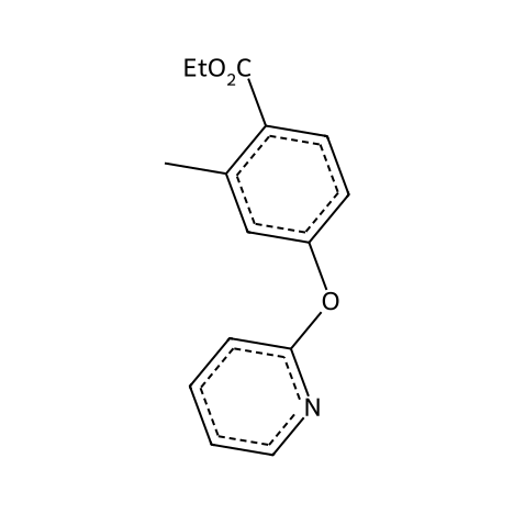 CCOC(=O)c1ccc(Oc2ccccn2)cc1C